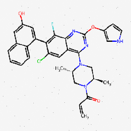 C=CC(=O)N1C[C@H](C)N(c2nc(Oc3cc[nH]c3)nc3c(F)c(-c4cc(O)cc5ccccc45)c(Cl)cc23)C[C@H]1C